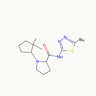 CC(C)(C)c1nnc(NC(=O)C2CCCN2C2CCCC2(C)C)s1